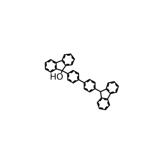 OC1(c2ccc(-c3ccc(C4c5ccccc5-c5ccccc54)cc3)cc2)c2ccccc2-c2ccccc21